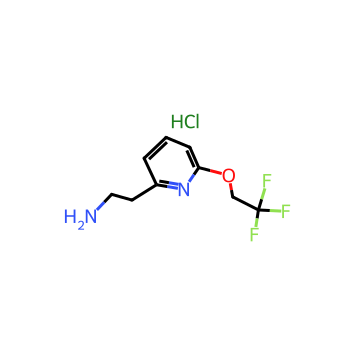 Cl.NCCc1cccc(OCC(F)(F)F)n1